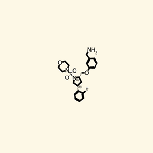 NCc1cccc(OC[C@@H]2C[C@H](c3ccccc3F)CN2S(=O)(=O)N2CCOCC2)c1